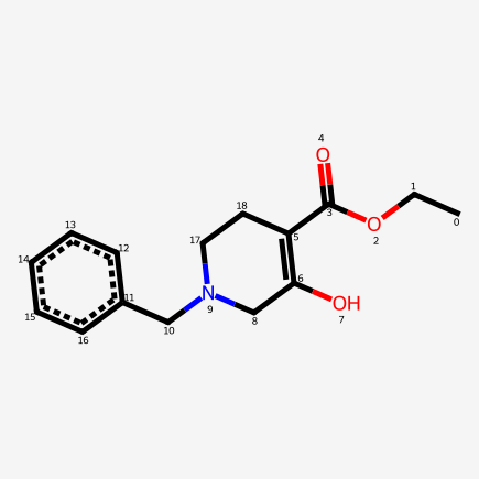 CCOC(=O)C1=C(O)CN(Cc2ccccc2)CC1